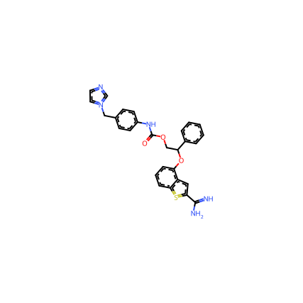 N=C(N)c1cc2c(OC(COC(=O)Nc3ccc(Cn4ccnc4)cc3)c3ccccc3)cccc2s1